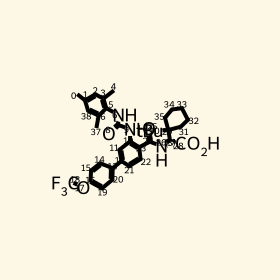 Cc1cc(C)c(NC(=O)Nc2cc(-c3ccc(OC(F)(F)F)cc3)ccc2C(=O)N[C@H](C(=O)O)C2(C(C)(C)C)CCCCC2)c(C)c1